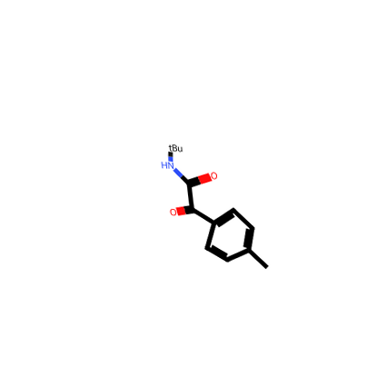 Cc1ccc(C(=O)C(=O)NC(C)(C)C)cc1